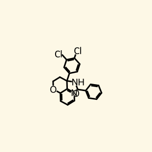 O=C(NC1(c2ccc(Cl)c(Cl)c2)CCOc2cccnc21)c1ccccc1